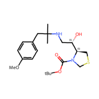 COc1ccc(CC(C)(C)NC[C@H](O)[C@H]2CSCN2C(=O)OC(C)(C)C)cc1